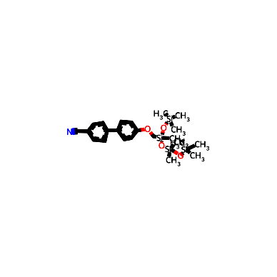 C[Si](C)(C)O[Si](C)(C)O[Si](C)(COc1ccc(-c2ccc(C#N)cc2)cc1)O[Si](C)(C)C